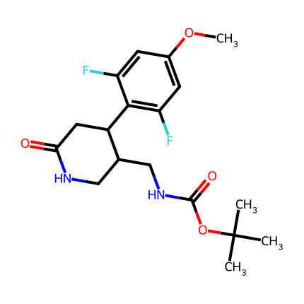 COc1cc(F)c(C2CC(=O)NCC2CNC(=O)OC(C)(C)C)c(F)c1